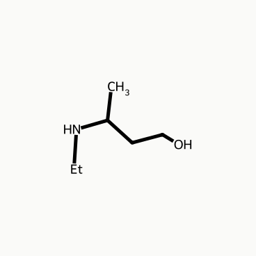 CCNC(C)CCO